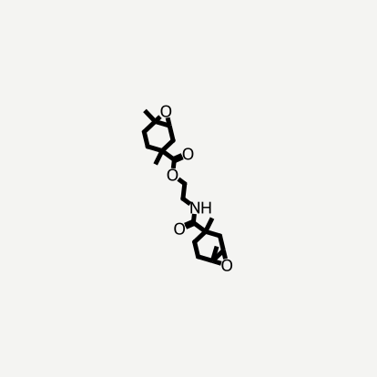 CC1(C(=O)NCCOC(=O)C2(C)CCC3(C)OC3C2)CCC2(C)OC2C1